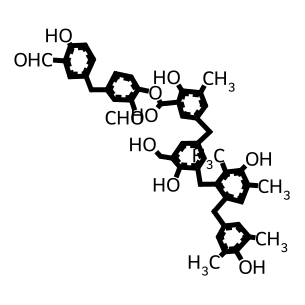 Cc1cc(Cc2cc(C)c(O)c(C)c2Cc2cc(Cc3cc(C)c(O)c(C(O)Oc4ccc(Cc5ccc(O)c(C=O)c5)cc4C=O)c3)cc(CO)c2O)cc(C)c1O